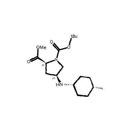 COC(=O)[C@@H]1C[C@H](N[C@H]2CC[C@@H](C)CC2)CN1C(=O)OC(C)(C)C